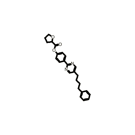 O=C(Oc1ccc(-c2ncc(CCCCc3ccccc3)cn2)cc1)C1CCCO1